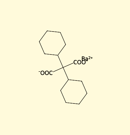 O=C([O-])C(C(=O)[O-])(C1CCCCC1)C1CCCCC1.[Ba+2]